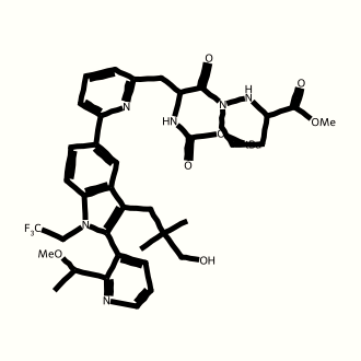 COC(=O)C1CCCN(C(=O)C(Cc2cccc(-c3ccc4c(c3)c(CC(C)(C)CO)c(-c3cccnc3C(C)OC)n4CC(F)(F)F)n2)NC(=O)OC(C)(C)C)N1